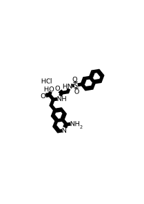 Cl.Nc1nccc2cc(CC(NC(=O)CNS(=O)(=O)c3ccc4ccccc4c3)C(=O)O)ccc12